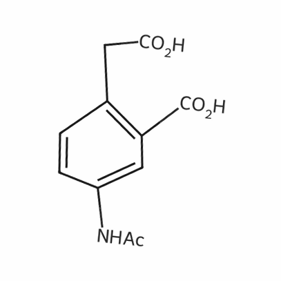 CC(=O)Nc1ccc(CC(=O)O)c(C(=O)O)c1